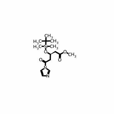 COC(=O)C[C@@H](CC(=O)n1ccnc1)O[Si](C)(C)C(C)(C)C